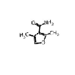 Cc1coc(C)c1C(N)=O